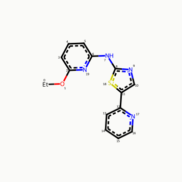 CCOc1cccc(Nc2ncc(-c3ccccn3)s2)n1